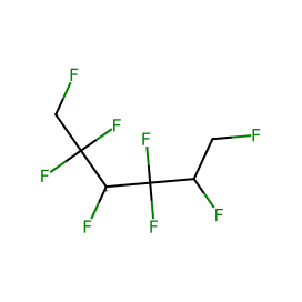 FCC(F)C(F)(F)[C](F)C(F)(F)CF